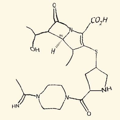 CC(=N)N1CCN(C(=O)C2CC(SC3=C(C(=O)O)N4C(=O)C(C(C)O)[C@@H]4C3C)CN2)CC1